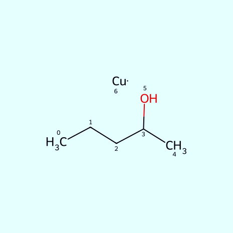 CCCC(C)O.[Cu]